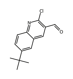 CC(C)(C)c1ccc2nc(Cl)c(C=O)cc2c1